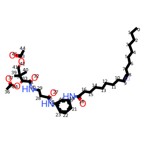 CCCCCCCC/C=C\CCCCCCCC(=O)Nc1cccc(NC(=O)CCNC(=O)C(OC(C)=O)C(C)(C)COC(C)=O)c1